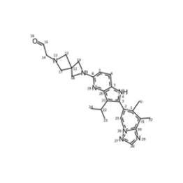 Cc1c(-c2[nH]c3ccc(N4CC5(CN(CC=O)C5)C4)nc3c2C(C)C)cn2ncnc2c1C